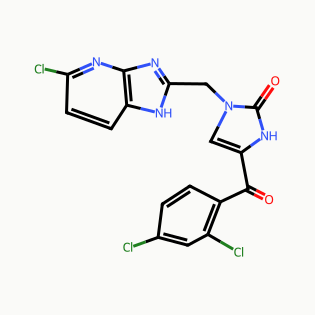 O=C(c1cn(Cc2nc3nc(Cl)ccc3[nH]2)c(=O)[nH]1)c1ccc(Cl)cc1Cl